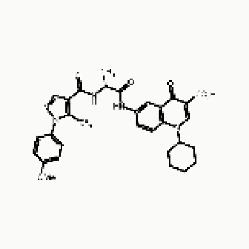 COc1ccc(-n2ncc(C(=O)N[C@@H](C)C(=O)Nc3ccc4c(c3)c(=O)c(C(=O)O)cn4C3CCCCC3)c2C(F)(F)F)cc1